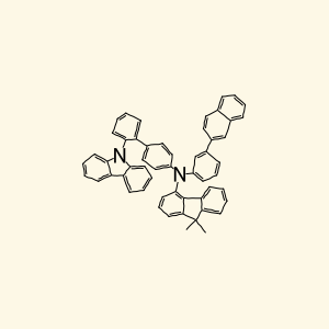 CC1(C)c2ccccc2-c2c(N(c3ccc(-c4ccccc4-n4c5ccccc5c5ccccc54)cc3)c3cccc(-c4ccc5ccccc5c4)c3)cccc21